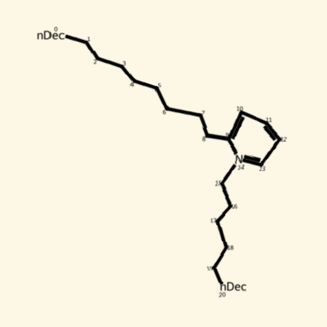 CCCCCCCCCCCCCCCCCCc1cccc[n+]1CCCCCCCCCCCCCCC